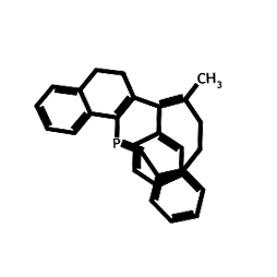 C/C1=C(/c2ccccc2)C2=C(/P=C/c3ccccc3CC1)c1ccccc1CC2